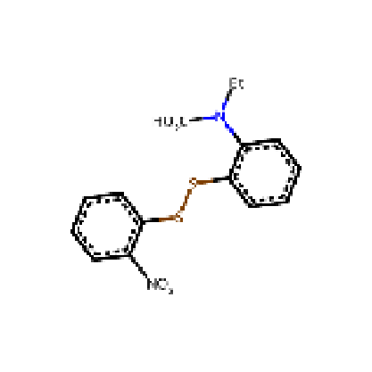 CCN(C(=O)O)c1ccccc1SSc1ccccc1[N+](=O)[O-]